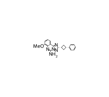 COc1cccc2c1nc(N)n1nc([C@H]3C[C@@H](c4ccccc4)C3)nc21